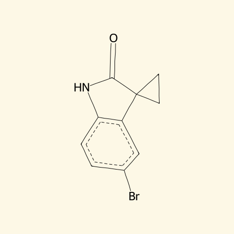 O=C1Nc2ccc(Br)cc2C12CC2